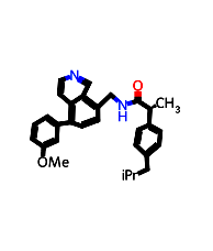 COc1cccc(-c2ccc(CNC(=O)[C@@H](C)c3ccc(CC(C)C)cc3)c3cnccc23)c1